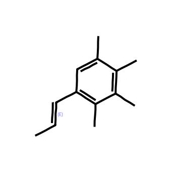 C/C=[C]/c1cc(C)c(C)c(C)c1C